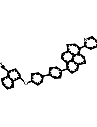 N#Cc1ccc(Oc2ccc(-c3ccc(-c4ccc5ccc6c(-c7ccccn7)ccc7ccc4c5c76)cc3)cc2)c2ccccc12